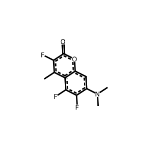 Cc1c(F)c(=O)oc2cc(N(C)C)c(F)c(F)c12